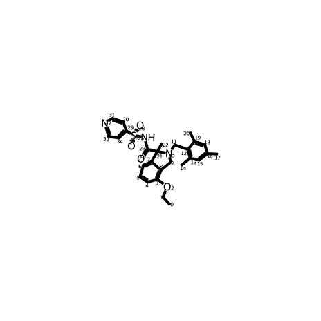 CCOc1cccc2c1CN(Cc1c(C)cc(C)cc1C)C2(C)C(=O)NS(=O)(=O)c1ccncc1